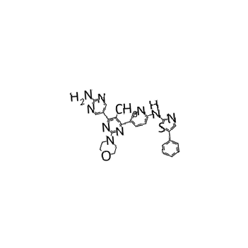 Cc1c(-c2ccc(Nc3ncc(-c4ccccc4)s3)nc2)nc(N2CCOCC2)nc1-c1cnc(N)nc1